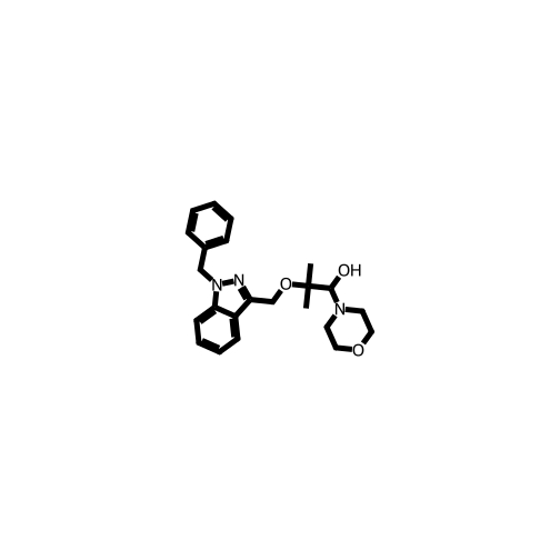 CC(C)(OCc1nn(Cc2ccccc2)c2ccccc12)C(O)N1CCOCC1